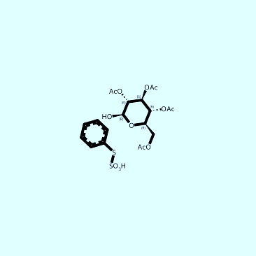 CC(=O)OC[C@H]1O[C@@H](O)[C@H](OC(C)=O)[C@@H](OC(C)=O)[C@@H]1OC(C)=O.O=S(=O)(O)Sc1ccccc1